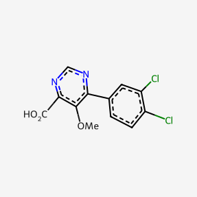 COc1c(C(=O)O)ncnc1-c1ccc(Cl)c(Cl)c1